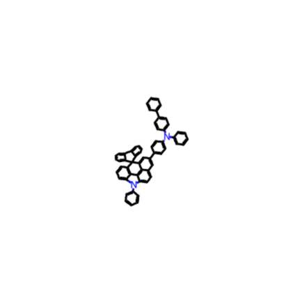 c1ccc(-c2ccc(N(c3ccccc3)c3ccc(-c4cc5c6c(ccc7c6c6c(cccc6n7-c6ccccc6)C56c5ccccc5-c5ccccc56)c4)cc3)cc2)cc1